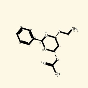 NCC[C@@H]1C[C@H](CC(=O)O)O[C@@H](c2ccccc2)O1